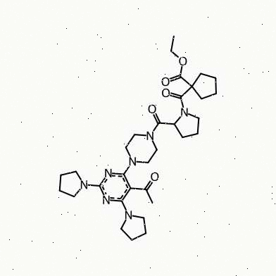 CCOC(=O)C1(C(=O)N2CCCC2C(=O)N2CCN(c3nc(N4CCCC4)nc(N4CCCC4)c3C(C)=O)CC2)CCCC1